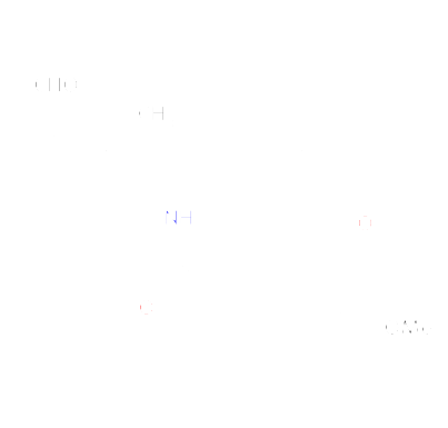 COc1ccc(C(=O)NC2=C(C)C(C=O)CCC2)cc1OC1CCCC1